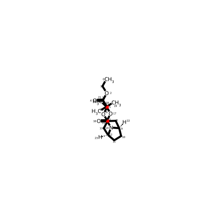 CCOC(=O)COC1C[C@H]2CC[C@@H](C1)N2C(=O)OC(C)(C)C